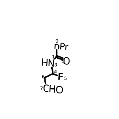 CCCC(=O)NC(F)CC=O